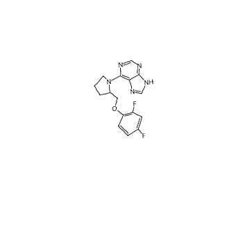 Fc1ccc(OCC2CCCN2c2ncnc3[nH]cnc23)c(F)c1